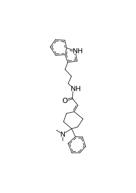 CN(C)C1(c2ccccc2)CCC(=CC(=O)NCCCc2c[nH]c3ccccc23)CC1